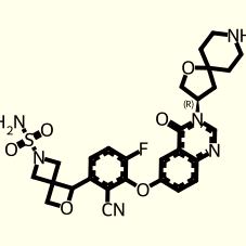 N#Cc1c(C2OCC23CN(S(N)(=O)=O)C3)ccc(F)c1Oc1ccc2ncn([C@H]3COC4(CCNCC4)C3)c(=O)c2c1